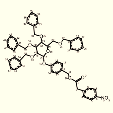 O=C(Cc1ccc([N+](=O)[O-])cc1)OCc1ccc(O[C@@H]2OC(COCc3ccccc3)[C@H](OCc3ccccc3)C(OCc3ccccc3)[C@@H]2OCc2ccccc2)cc1